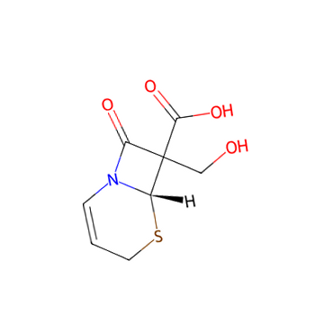 O=C(O)C1(CO)C(=O)N2C=CCS[C@H]21